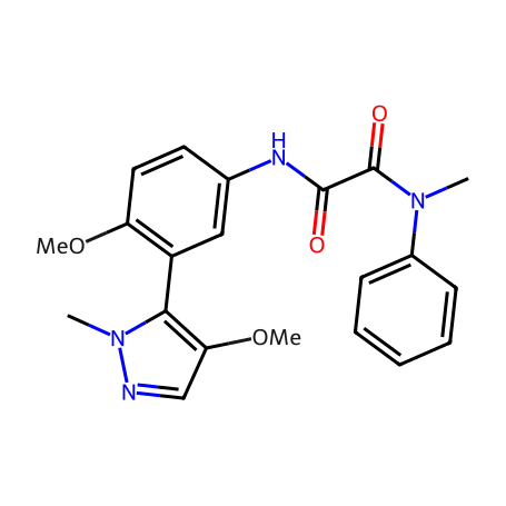 COc1ccc(NC(=O)C(=O)N(C)c2ccccc2)cc1-c1c(OC)cnn1C